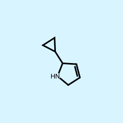 C1=CC(C2CC2)NC1